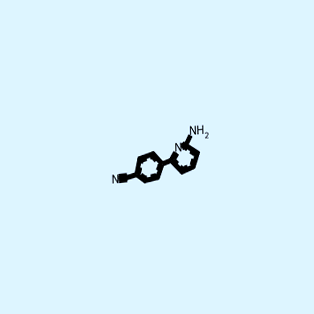 N#Cc1ccc(-c2cccc(N)n2)cc1